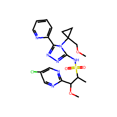 COCC1(n2c(NS(=O)(=O)C(C)C(OC)c3ncc(Cl)cn3)nnc2-c2ccccn2)CC1